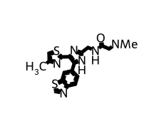 CNCC(=O)NCc1nc(-c2nc(C)cs2)c(-c2ccc3ncsc3c2)[nH]1